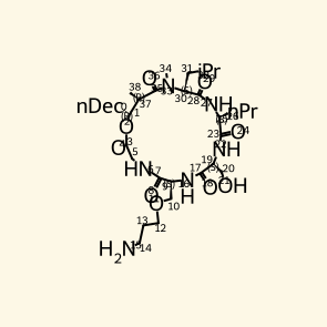 CCCCCCCCCC[C@H]1OC(=O)CNC(=O)[C@H](COCCCN)NC(=O)[C@H](CO)NC(=O)[C@H](CCC)NC(=O)[C@H](CC(C)C)N(C)C(=O)[C@@H]1C